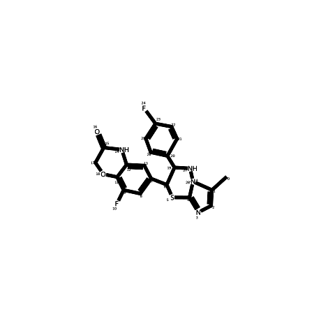 CC1=CN=C2SC(c3cc(F)c4c(c3)NC(=O)CO4)C(c3ccc(F)cc3)N[N+]12